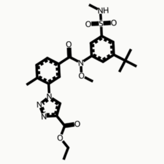 CCOC(=O)c1cn(-c2cc(C(=O)N(OC)c3cc(C(C)(C)C)cc(S(=O)(=O)NC)c3)ccc2C)nn1